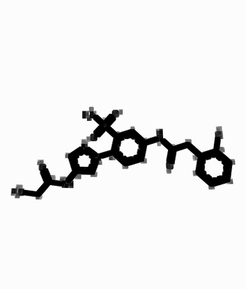 NS(=O)(=O)c1cc(NC(=O)Cc2ccccc2Cl)ccc1-n1cc(NC(=O)CC(F)(F)F)cn1